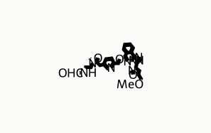 COCc1cc(-c2nnc3c4ccccc4c(OCc4ccc(CC(=O)N(C)CCNC=O)cn4)nn23)no1